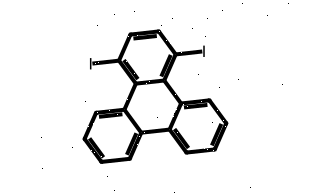 Ic1ccc(I)c2c3ccccc3c3ccccc3c12